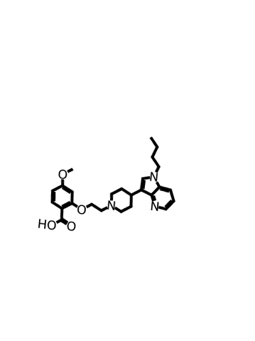 CCCCn1cc(C2CCN(CCOc3cc(OC)ccc3C(=O)O)CC2)c2ncccc21